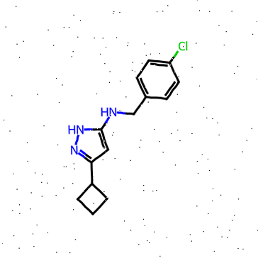 Clc1ccc(CNc2cc(C3CCC3)n[nH]2)cc1